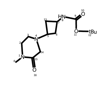 CN1CCN(C2CC(NC(=O)OC(C)(C)C)C2)CC1=O